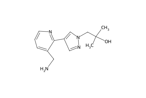 CC(C)(O)Cn1cc(-c2ncccc2CN)cn1